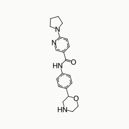 O=C(Nc1ccc(C2CNCCO2)cc1)c1ccc(N2CCCC2)nc1